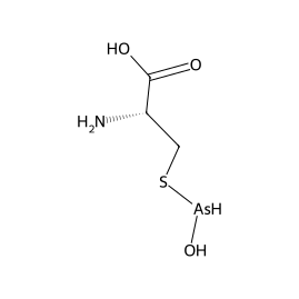 N[C@@H](CS[AsH]O)C(=O)O